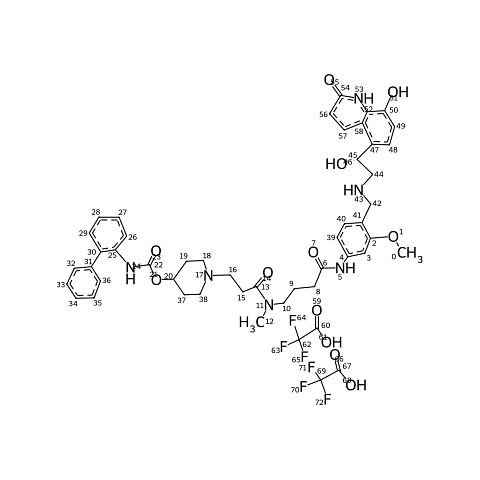 COc1cc(NC(=O)CCCN(C)C(=O)CCN2CCC(OC(=O)Nc3ccccc3-c3ccccc3)CC2)ccc1CNC[C@H](O)c1ccc(O)c2[nH]c(=O)ccc12.O=C(O)C(F)(F)F.O=C(O)C(F)(F)F